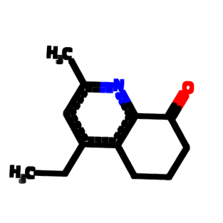 CCc1cc(C)nc2c1CCCC2=O